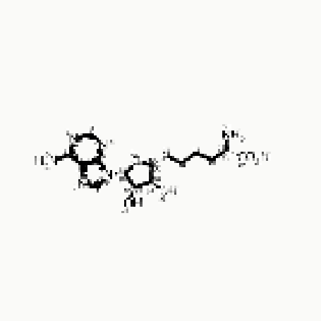 Nc1ncnc2c1ncn2[C@@H]1O[C@H](CCCC[C@H](N)C(=O)O)[C@@H](O)[C@H]1O